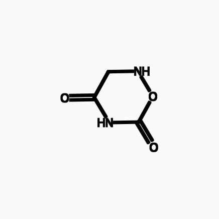 O=C1CNOC(=O)N1